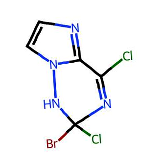 ClC1=NC(Cl)(Br)Nn2ccnc21